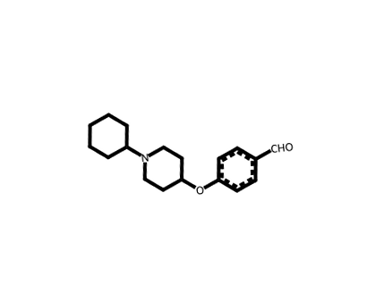 O=Cc1ccc(OC2CCN(C3CCCCC3)CC2)cc1